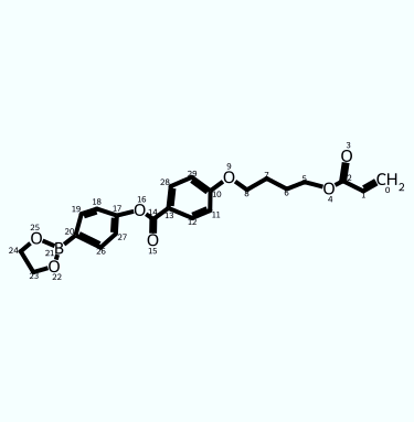 C=CC(=O)OCCCCOc1ccc(C(=O)Oc2ccc(B3OCCO3)cc2)cc1